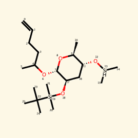 C=CCCC(C)O[C@@H]1O[C@@H](C)[C@H](O[SiH](C)C)C[C@H]1O[Si](C)(C)C(C)(C)C